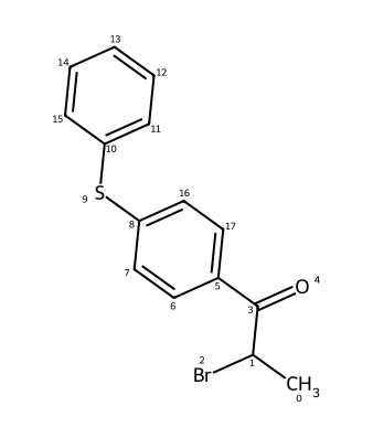 CC(Br)C(=O)c1ccc(Sc2ccccc2)cc1